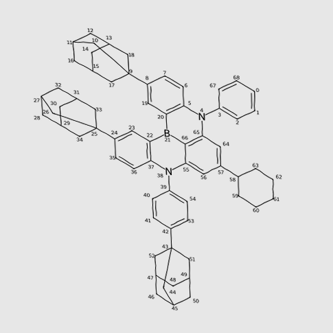 c1ccc(N2c3ccc(C45CC6CC(CC(C6)C4)C5)cc3B3c4cc(C56CC7CC(CC(C7)C5)C6)ccc4N(c4ccc(C56CC7CC(CC(C7)C5)C6)cc4)c4cc(C5CCCCC5)cc2c43)cc1